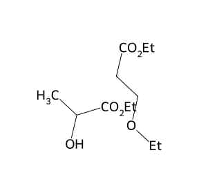 CCOC(=O)C(C)O.CCOCCC(=O)OCC